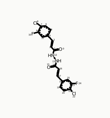 O=C(/C=C/c1ccc(Cl)c(F)c1)NNC(=O)/C=C/c1ccc(Cl)c(F)c1